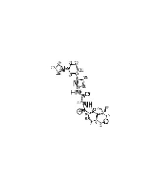 C[C@@]1(F)COCc2ccc(C(=O)NCC(=O)Nc3nc(-c4cccc(N5CCC5)c4)cs3)cc21